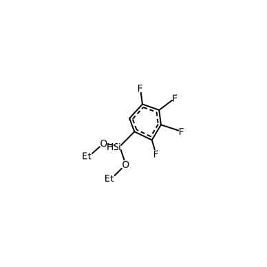 CCO[SiH](OCC)c1cc(F)c(F)c(F)c1F